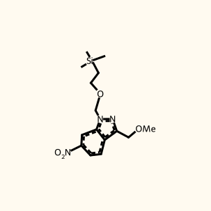 COCc1nn(COCC[Si](C)(C)C)c2cc([N+](=O)[O-])ccc12